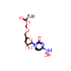 CC(C)(C)C(=O)OCOCC1=C[C@@H](O)C(n2ccc(NO)nc2=O)O1